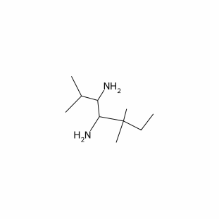 CCC(C)(C)C(N)C(N)C(C)C